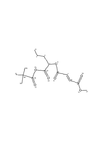 CCCC(OC(=O)/C=C/C(=O)OC)C(=O)OC(=O)C(C)(C)C